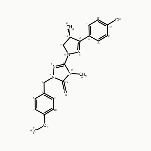 COc1ccc(Cn2nc(N3C[C@@H](C)C(c4ccc(Cl)cc4)=N3)n(C)c2=O)cc1